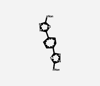 CCCCCCCCCc1nnc(-c2ccc(-c3nnc(CCCCCCCCC)s3)cc2)s1